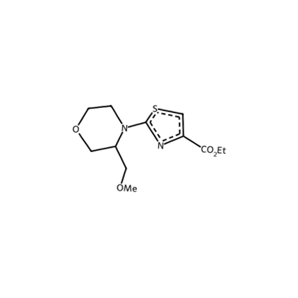 CCOC(=O)c1csc(N2CCOCC2COC)n1